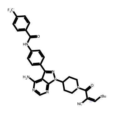 CC(C)(C)/C=C(/C#N)C(=O)N1CCC(n2nc(-c3ccc(NC(=O)c4ccc(C(F)(F)F)cc4)cc3)c3c(N)ncnc32)CC1